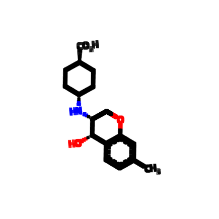 Cc1ccc2c(c1)OC[C@@H](N[C@H]1CC[C@H](C(=O)O)CC1)[C@H]2O